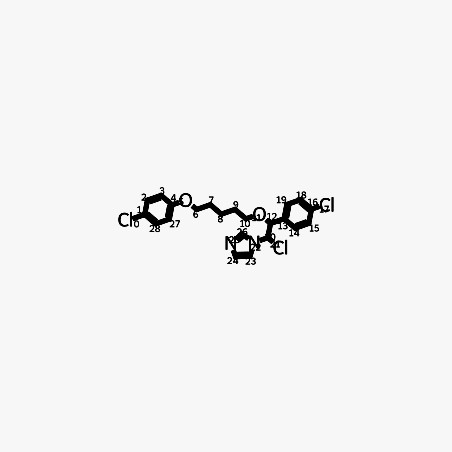 Clc1ccc(OCCCCCOC(c2ccc(Cl)cc2)C(Cl)n2ccnc2)cc1